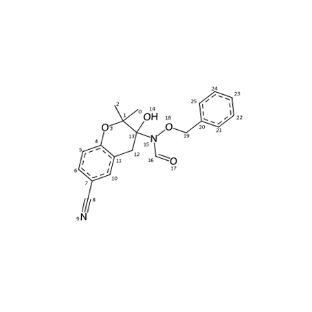 CC1(C)Oc2ccc(C#N)cc2CC1(O)N(C=O)OCc1ccccc1